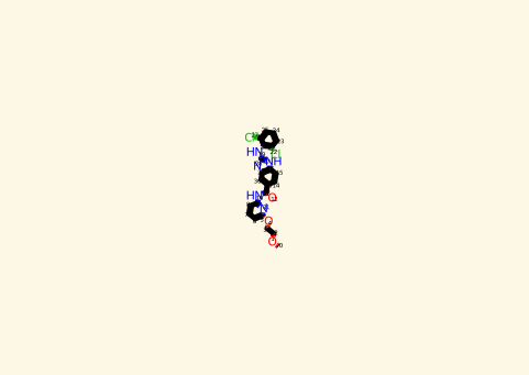 COCCOc1cccc(NC(=O)c2ccc3[nH]c(Nc4c(Cl)cccc4Cl)nc3c2)n1